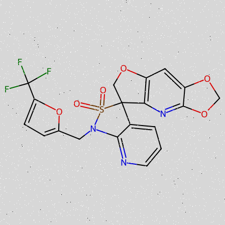 O=S1(=O)N(Cc2ccc(C(F)(F)F)o2)c2ncccc2C12COc1cc3c(nc12)OCO3